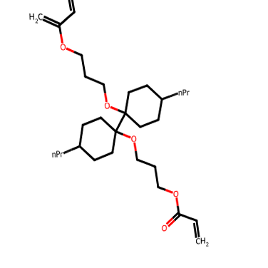 C=CC(=C)OCCCOC1(C2(OCCCOC(=O)C=C)CCC(CCC)CC2)CCC(CCC)CC1